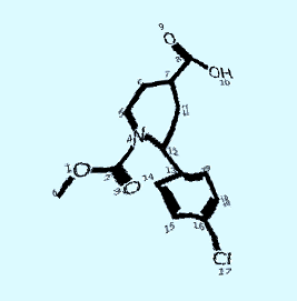 COC(=O)N1CCC(C(=O)O)CC1c1ccc(Cl)cc1